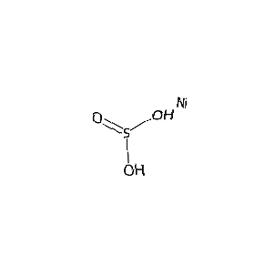 O=S(O)O.[Ni]